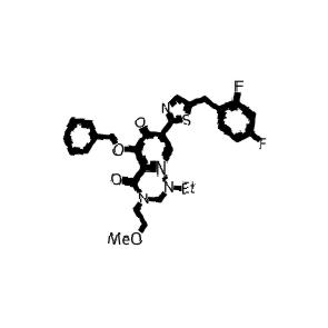 CCN1CN(CCOC)C(=O)c2c(OCc3ccccc3)c(=O)c(-c3ncc(Cc4ccc(F)cc4F)s3)cn21